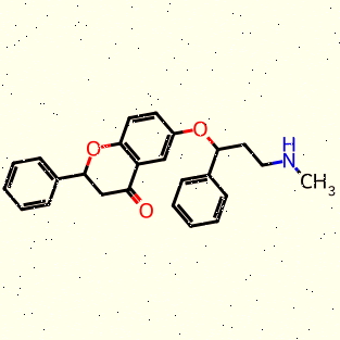 CNCCC(Oc1ccc2c(c1)C(=O)CC(c1ccccc1)O2)c1ccccc1